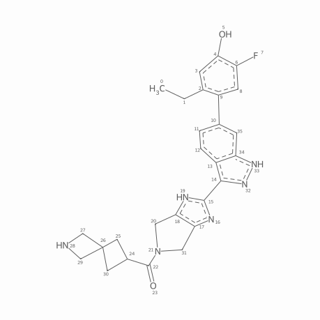 CCc1cc(O)c(F)cc1-c1ccc2c(-c3nc4c([nH]3)CN(C(=O)C3CC5(CNC5)C3)C4)n[nH]c2c1